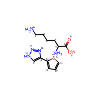 NCCCCC(N)C(=O)O.c1csc(-c2c[nH]nn2)c1